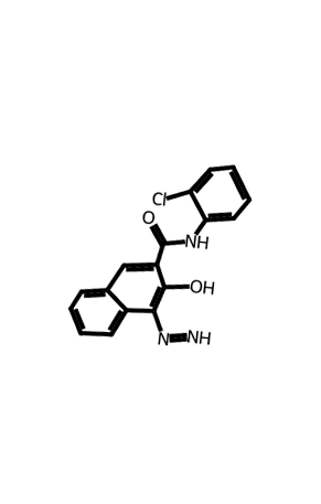 N=Nc1c(O)c(C(=O)Nc2ccccc2Cl)cc2ccccc12